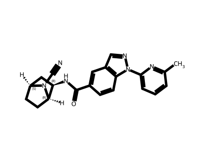 Cc1cccc(-n2ncc3cc(C(=O)N[C@@H]4C[C@@H]5CC[C@H]4N5C#N)ccc32)n1